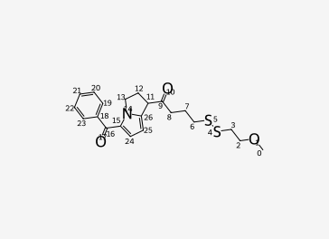 COCCSSCCCC(=O)C1CCn2c(C(=O)c3ccccc3)ccc21